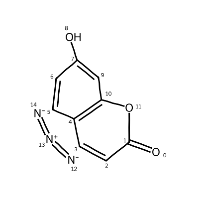 O=c1ccc2ccc(O)cc2o1.[N-]=[N+]=[N-]